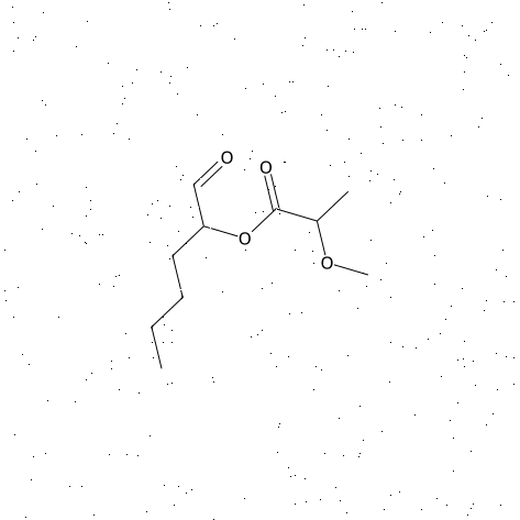 CCCCC(C=O)OC(=O)C(C)OC